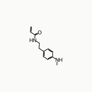 C=CC(=O)NCCc1ccc(NC)cc1